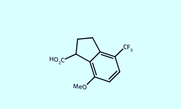 COc1ccc(C(F)(F)F)c2c1C(C(=O)O)CC2